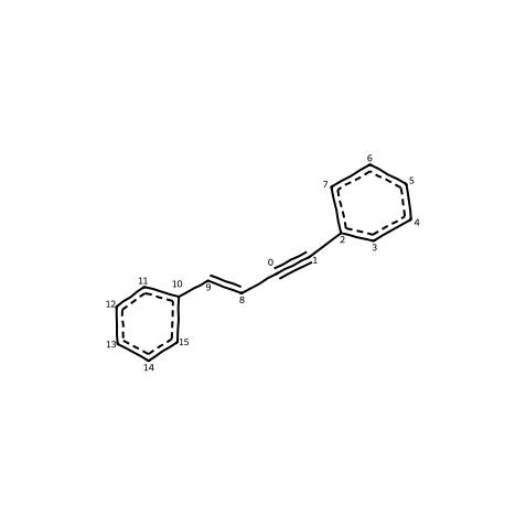 C(#Cc1ccccc1)C=Cc1ccccc1